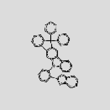 c1ccc(C2(c3ccccc3)c3ccccc3-c3cc4c(cc32)c2ccccc2n4-c2ccccc2-c2nc3ccccc3s2)cc1